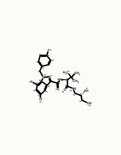 CC(C)(C)[C@H](NC(=O)c1nn(Cc2ccc(F)cc2)c2c(F)cc(Cl)cc12)C(=O)NC[C@H](O)CO